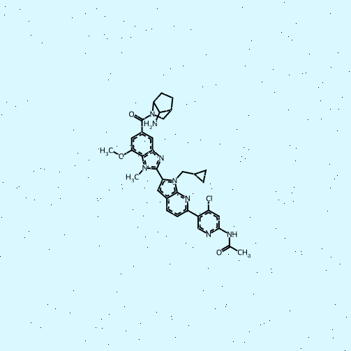 COc1cc(C(=O)N2CC3CCC2C3N)cc2nc(-c3cc4ccc(-c5cnc(NC(C)=O)cc5Cl)nc4n3CC3CC3)n(C)c12